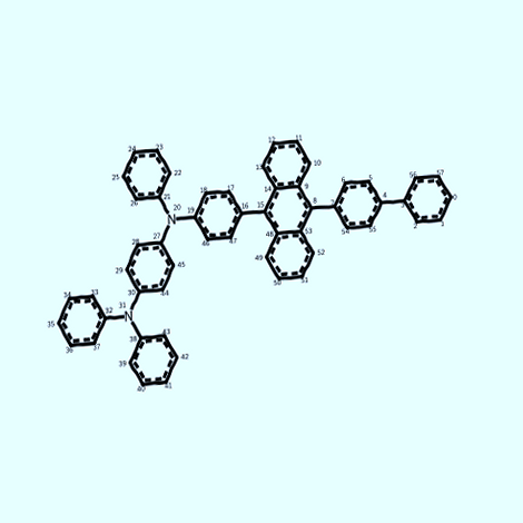 c1ccc(-c2ccc(-c3c4ccccc4c(-c4ccc(N(c5ccccc5)c5ccc(N(c6ccccc6)c6ccccc6)cc5)cc4)c4ccccc34)cc2)cc1